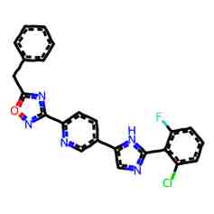 Fc1cccc(Cl)c1-c1ncc(-c2ccc(-c3noc(Cc4ccccc4)n3)nc2)[nH]1